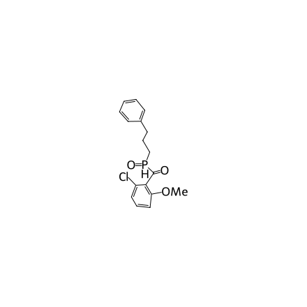 COc1cccc(Cl)c1C(=O)[PH](=O)CCCc1ccccc1